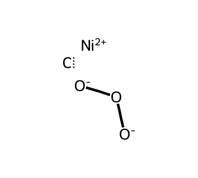 [C].[Ni+2].[O-]O[O-]